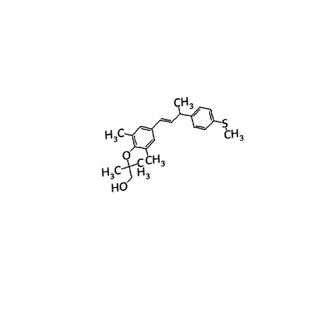 CSc1ccc(C(C)/C=C/c2cc(C)c(OC(C)(C)CO)c(C)c2)cc1